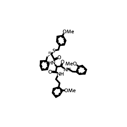 COc1ccc(CS[C@@H](Cc2ccccc2)C(=O)NC(C(=O)NCCc2ccccc2OC)C(=O)NCCc2ccccc2OC)cc1